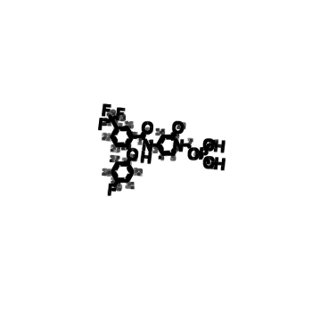 O=C(Nc1ccn(COP(O)O)c(=O)c1)c1cc(C(F)(F)F)ccc1Oc1ccc(F)cc1